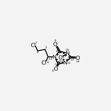 O=c1n(C(Cl)CCCl)c(=O)n2on1c2=O